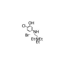 CC[N+](CC)(CC)CCNc1ccc(Cl)c(O)c1.[Br-]